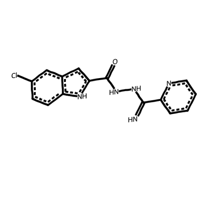 N=C(NNC(=O)c1cc2cc(Cl)ccc2[nH]1)c1ccccn1